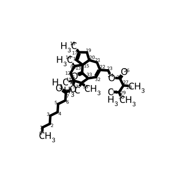 CCCCCCCC(=O)O[C@]1(C)C[C@@H](C)C23C=C(C)CC2CC(COC(=O)C(C)C(C)C)=CC(C3=O)C1(C)C